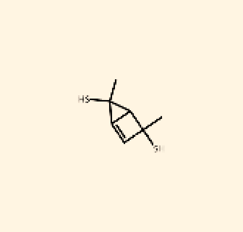 CC1(S)C=C2C1C2(C)S